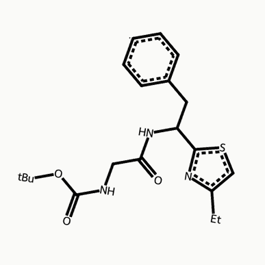 CCc1csc(C(Cc2cc[c]cc2)NC(=O)CNC(=O)OC(C)(C)C)n1